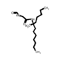 CCCCCCCC(C)(CCCCC)NC(=O)CNC=O